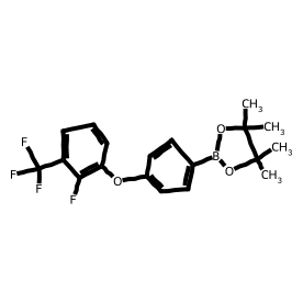 CC1(C)OB(c2ccc(Oc3cccc(C(F)(F)F)c3F)cc2)OC1(C)C